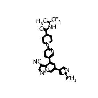 C[C@H](NC(=O)C1CCN(c2ccc(-c3cc(-c4cnn(C)c4)cn4ncc(C#N)c34)cn2)CC1)C(F)(F)F